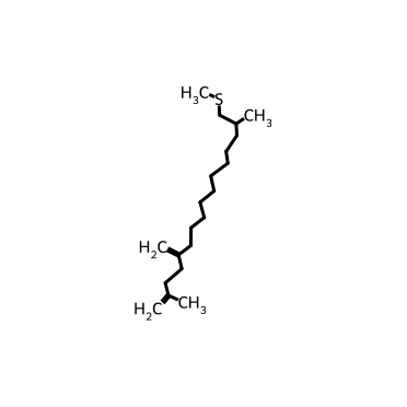 C=C(C)CCC(=C)CCCCCCCCCC(C)CSC